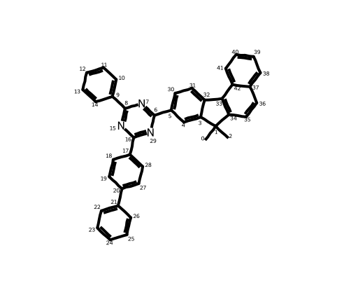 CC1(C)c2cc(-c3nc(-c4ccccc4)nc(-c4ccc(-c5ccccc5)cc4)n3)ccc2-c2c1ccc1ccccc21